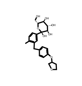 Cc1ccc([C@]2(O)O[C@H](CO)[C@@H](O)[C@H](O)[C@H]2O)cc1Cc1ccc(OC2CCOC2)cc1